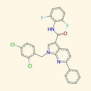 O=C(Nc1c(F)cccc1F)c1cn(Cc2ccc(Cl)cc2Cl)c2nc(-c3ccccc3)ccc12